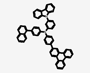 c1cc(N(c2ccc(-c3ccc4c5ccccc5c5ccccc5c4c3)cc2)c2ccc(-c3cccc4ccccc34)cc2)cc(-n2c3ccccc3c3ccccc32)c1